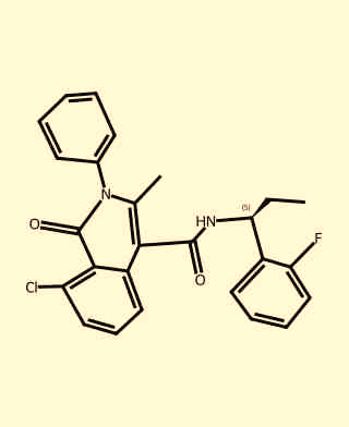 CC[C@H](NC(=O)c1c(C)n(-c2ccccc2)c(=O)c2c(Cl)cccc12)c1ccccc1F